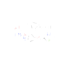 Cc1ccc(S(=O)(=O)O)cc1.NC/C(=C\F)COc1ccc2nc(NCCO)oc2c1